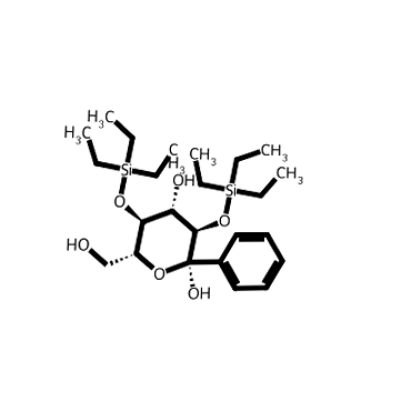 CC[Si](CC)(CC)O[C@H]1[C@H](O)[C@@H](O[Si](CC)(CC)CC)[C@@](O)(c2ccccc2)O[C@@H]1CO